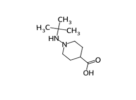 CC(C)(C)NN1CCC(C(=O)O)CC1